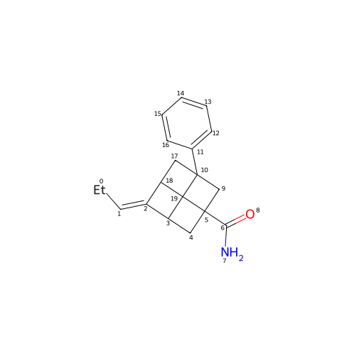 CC/C=C1/C2CC3(C(N)=O)CC4(c5ccccc5)CC1C234